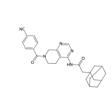 N#Cc1ccc(C(=O)N2CCc3c(ncnc3NC(=O)CC34CC5CC(CC(C5)C3)C4)C2)cc1